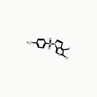 Cc1ccc(S(=O)(=O)n2ccc3c(F)c(Cl)ncc32)cc1